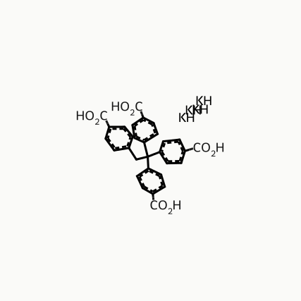 O=C(O)c1ccc(CC(c2ccc(C(=O)O)cc2)(c2ccc(C(=O)O)cc2)c2ccc(C(=O)O)cc2)cc1.[KH].[KH].[KH].[KH]